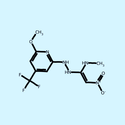 CN/C(=C\[N+](=O)[O-])NNc1cc(C(F)(F)F)cc(OC)n1